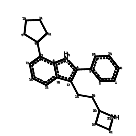 c1ccc(-c2[nH]c3c(C4CCCC4)cccc3c2CCC2CCN2)cc1